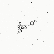 COC(=O)[C@@H](CC(=O)CCc1ccc(OC)cc1)NC(=O)OC(C)(C)C